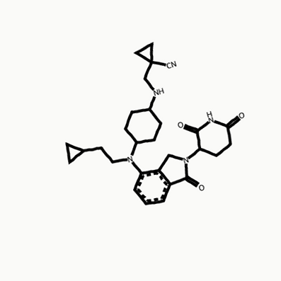 N#CC1(CNC2CCC(N(CCC3CC3)c3cccc4c3CN(C3CCC(=O)NC3=O)C4=O)CC2)CC1